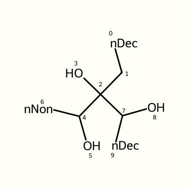 CCCCCCCCCCCC(O)(C(O)CCCCCCCCC)C(O)CCCCCCCCCC